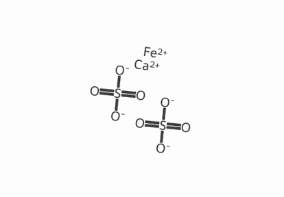 O=S(=O)([O-])[O-].O=S(=O)([O-])[O-].[Ca+2].[Fe+2]